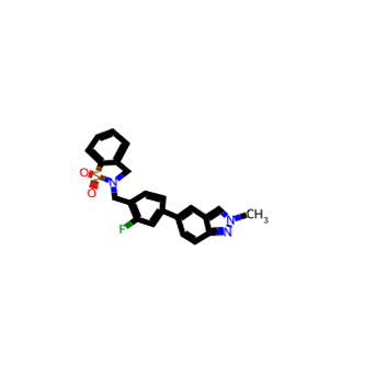 Cn1cc2cc(-c3ccc(CN4Cc5ccccc5S4(=O)=O)c(F)c3)ccc2n1